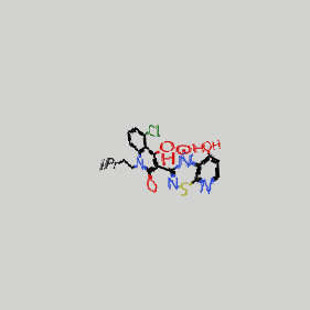 CC(C)CCn1c(=O)c(C2=NSc3nccc(O)c3N2O)c(O)c2c(Cl)cccc21